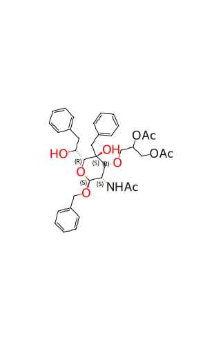 CC(=O)N[C@@H]1[C@@H](OCc2ccccc2)O[C@H](C(O)Cc2ccccc2)[C@](O)(Cc2ccccc2)[C@@H]1OCC(COC(C)=O)OC(C)=O